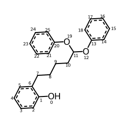 Oc1ccccc1CCCCC(Oc1ccccc1)Oc1ccccc1